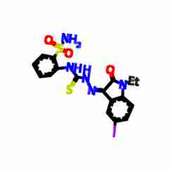 CCN1C(=O)C(=NNC(=S)Nc2ccccc2S(N)(=O)=O)c2cc(I)ccc21